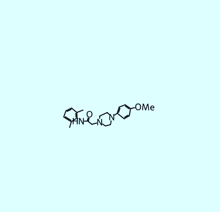 COc1ccc(N2CCN(CC(=O)Nc3c(C)cccc3C)CC2)cc1